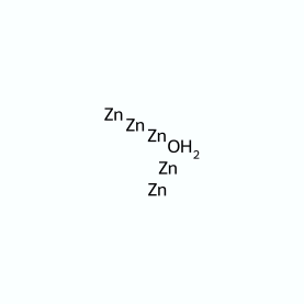 O.[Zn].[Zn].[Zn].[Zn].[Zn]